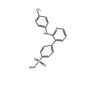 CNS(=O)(=O)c1ccc(-c2cccnc2Nc2ccc(C(F)(F)F)cc2)cc1